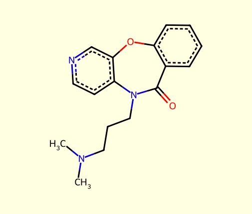 CN(C)CCCN1C(=O)c2ccccc2Oc2cnccc21